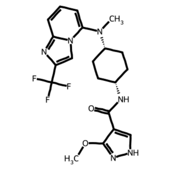 COc1n[nH]cc1C(=O)N[C@H]1CC[C@@H](N(C)c2cccc3nc(C(F)(F)F)cn23)CC1